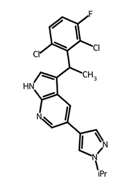 CC(c1c(Cl)ccc(F)c1Cl)c1c[nH]c2ncc(-c3cnn(C(C)C)c3)cc12